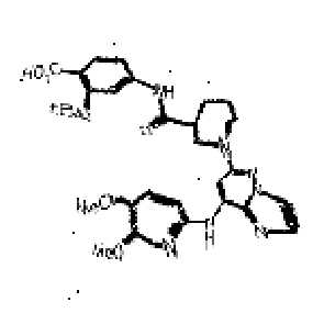 COc1ccc(Nc2cc(N3CCCC(C(=O)Nc4ccc(C(=O)O)c(C(C)(C)C)c4)C3)nn3ccnc23)nc1OC